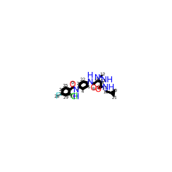 O=C(Nc1ccc(NC(=O)c2nc[nH]c2C(=O)NCC2CC2)cc1)c1ccc(F)cc1Cl